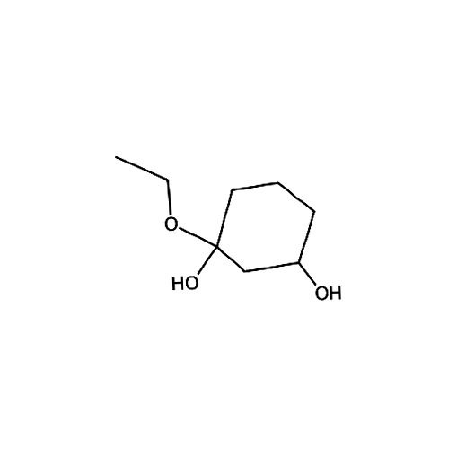 CCOC1(O)CCCC(O)C1